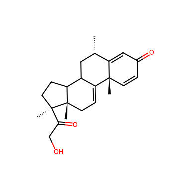 C[C@H]1CC2C(=CC[C@@]3(C)C2CC[C@]3(C)C(=O)CO)[C@@]2(C)C=CC(=O)C=C12